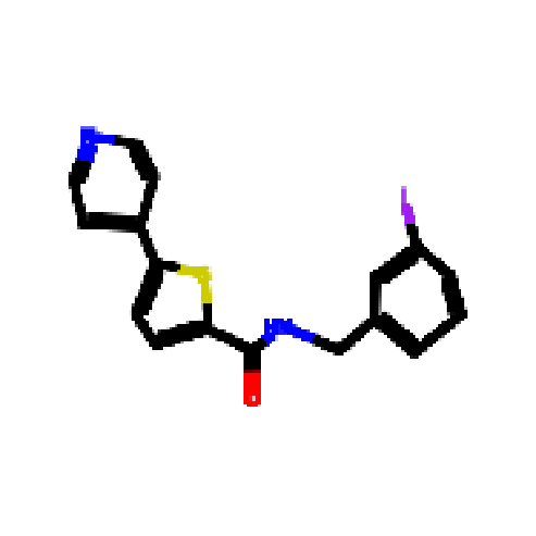 O=C(NCc1cccc(I)c1)c1ccc(-c2ccncc2)s1